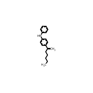 C=C(CCCCC)c1ccc(Nc2ccccc2)cc1